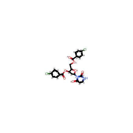 O=C(OCC1OC(n2c(=O)cc[nH]c2=O)CC1OC(=O)c1ccc(Cl)cc1)c1ccc(Cl)cc1